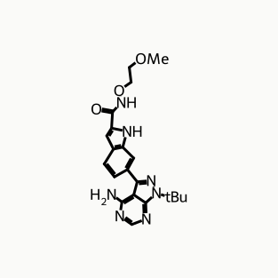 COCCONC(=O)c1cc2ccc(-c3nn(C(C)(C)C)c4ncnc(N)c34)cc2[nH]1